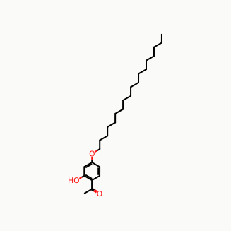 CCCCCCCCCCCCCCCCCCOc1ccc(C(C)=O)c(O)c1